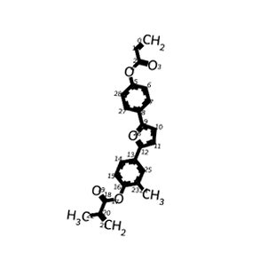 C=CC(=O)Oc1ccc(-c2ccc(-c3ccc(OC(=O)C(=C)C)c(C)c3)o2)cc1